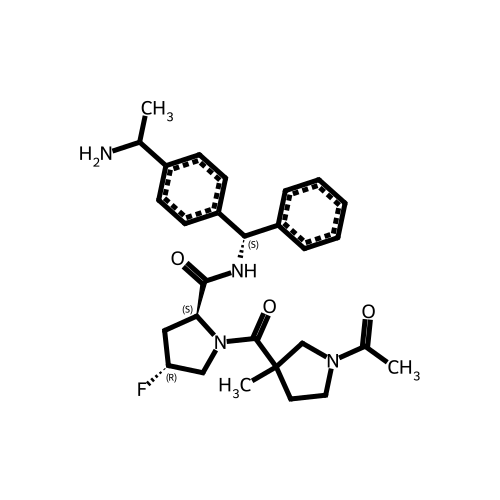 CC(=O)N1CCC(C)(C(=O)N2C[C@H](F)C[C@H]2C(=O)N[C@@H](c2ccccc2)c2ccc(C(C)N)cc2)C1